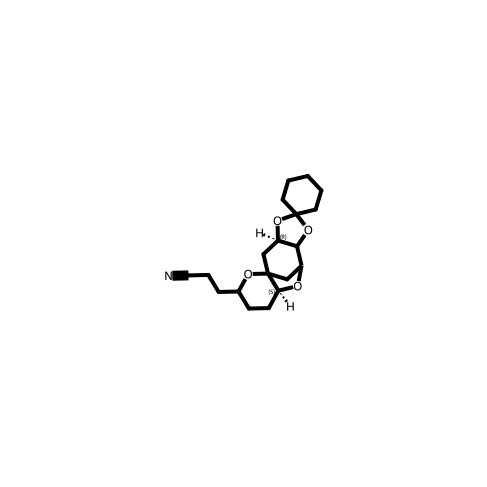 N#CCCC1CC[C@@H]2OC3CC2(C[C@H]2OC4(CCCCC4)OC32)O1